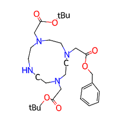 CC(C)(C)OC(=O)CN1CCNCCN(CC(=O)OC(C)(C)C)CCN(CC(=O)OCc2ccccc2)CC1